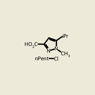 CC(C)c1cc(C(=O)O)nn1C.CCCCCCl